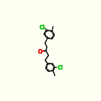 Cc1ccc(CCC(=O)CCc2ccc(C)c(Cl)c2)cc1Cl